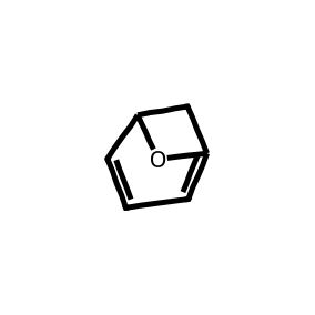 C1=CC2CC(=C1)O2